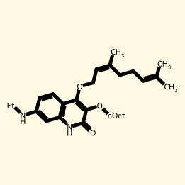 CCCCCCCCOc1c(OCC=C(C)CCC=C(C)C)c2ccc(NCC)cc2[nH]c1=O